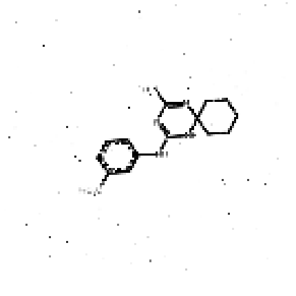 NC1=NC2(CCCCC2)NC(Nc2cccc(C(=O)O)c2)=N1